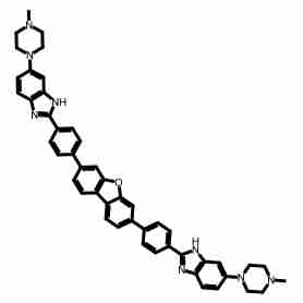 CN1CCN(c2ccc3nc(-c4ccc(-c5ccc6c(c5)oc5cc(-c7ccc(-c8nc9ccc(N%10CCN(C)CC%10)cc9[nH]8)cc7)ccc56)cc4)[nH]c3c2)CC1